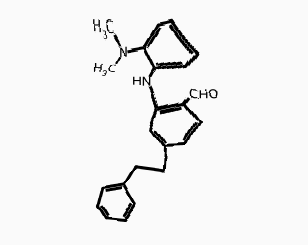 CN(C)c1ccccc1Nc1cc(CCc2ccccc2)ccc1C=O